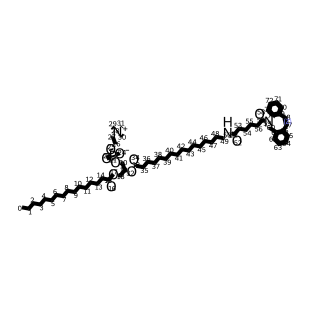 CCCCCCCCCCCCCCCC(=O)OCC(COP(=O)([O-])OCC[N+](C)(C)C)OC(=O)CCCCCCCCCCCCCCCNC(=O)CCCCC(=O)N1Cc2ccccc2/C=C\c2ccccc21